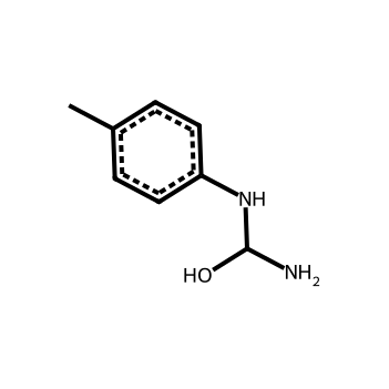 Cc1ccc(NC(N)O)cc1